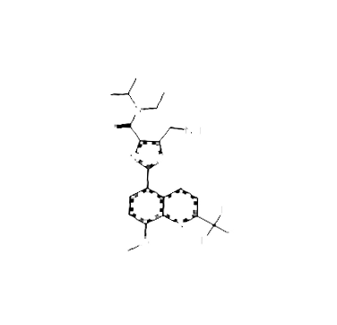 CCN(C(=O)c1nc(-c2ccc(OC)c3nc(C(F)(F)F)ccc23)oc1CN)C(C)C